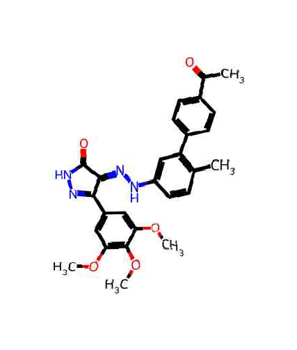 COc1cc(C2=NNC(=O)/C2=N/Nc2ccc(C)c(-c3ccc(C(C)=O)cc3)c2)cc(OC)c1OC